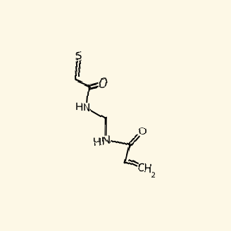 C=CC(=O)NCNC(=O)C=S